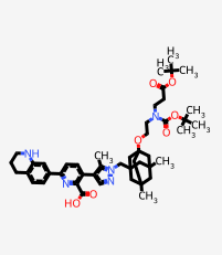 Cc1c(-c2ccc(-c3ccc4c(c3)NCCC4)nc2C(=O)O)cnn1CC12CC3(C)CC(C)(C1)CC(OCCN(CCC(=O)OC(C)(C)C)C(=O)OC(C)(C)C)(C3)C2